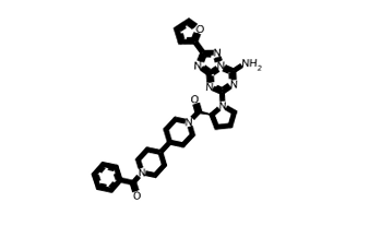 Nc1nc(N2CCC[C@H]2C(=O)N2CCC(C3CCN(C(=O)c4ccccc4)CC3)CC2)nc2nc(-c3ccco3)nn12